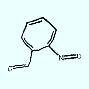 O=Cc1ccccc1N=O